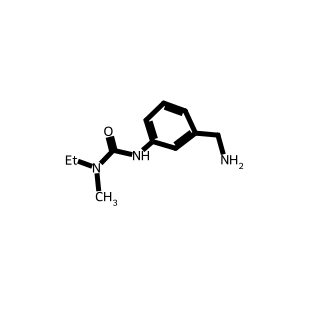 CCN(C)C(=O)Nc1cccc(CN)c1